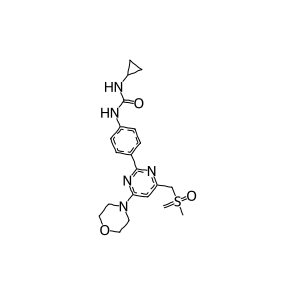 C=S(C)(=O)Cc1cc(N2CCOCC2)nc(-c2ccc(NC(=O)NC3CC3)cc2)n1